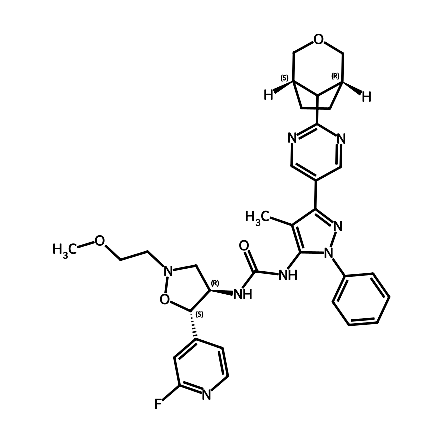 COCCN1C[C@@H](NC(=O)Nc2c(C)c(-c3cnc(C4[C@@H]5CC[C@H]4COC5)nc3)nn2-c2ccccc2)[C@H](c2ccnc(F)c2)O1